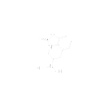 CN(C)C1Cc2cccc3oc(=O)n(c23)C1